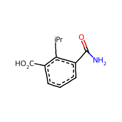 CC(C)c1c(C(N)=O)cccc1C(=O)O